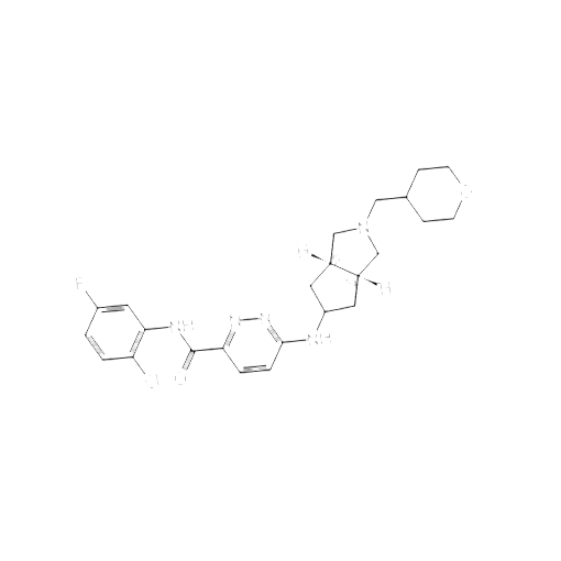 O=C(Nc1cc(F)ccc1Cl)c1ccc(NC2C[C@@H]3CN(CC4CCOCC4)C[C@@H]3C2)nn1